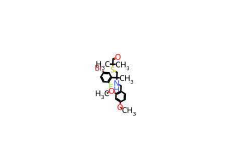 COc1ccc(CNC(C)(CSC(C)(C)C=O)c2cc(Br)ccc2F)c(OC)c1